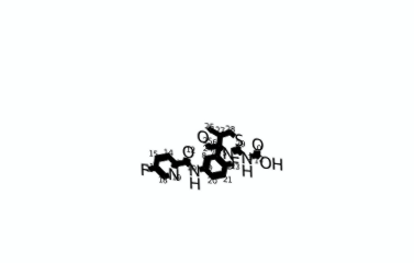 O=C(O)NC1=NC2(c3cc(NC(=O)c4ccc(F)cn4)ccc3F)COCC2CS1